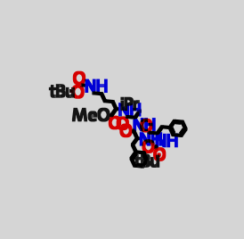 COC(=O)C(CCCCNC(=O)OC(C)(C)C)NC(=O)C(CC(C)C)NC(=O)C(Cc1ccccc1)NC(=O)C(Cc1ccccc1)NC(=O)OC(C)(C)C